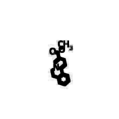 COC(=O)C1=CN2CCc3ccccc3C2=CC1